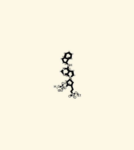 CCOS(=O)(=O)CCC1CC(n2ccc3c(NC4CCc5ccccc54)ncnc32)CC1O[Si](C)(C)C(C)(C)C